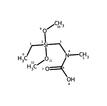 CC[Si](CN(C)C(=O)O)(OC)OC